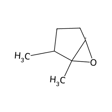 CC1CC[C]2OC21C